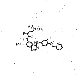 COc1cc2ncnc(Nc3ccc(OCc4ccccn4)c(Cl)c3)c2cc1NC(=O)/C(F)=C\CN(C)C